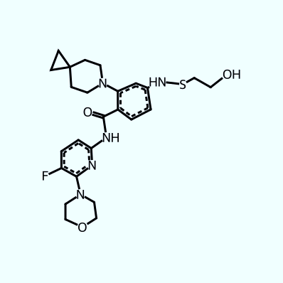 O=C(Nc1ccc(F)c(N2CCOCC2)n1)c1ccc(NSCCO)cc1N1CCC2(CC1)CC2